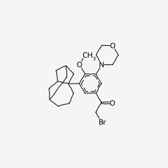 COc1c(N2CCOCC2)cc(C(=O)CBr)cc1C12CCCC3CC(CC1C3)C2